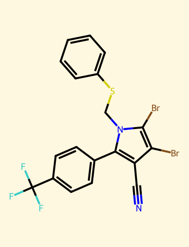 N#Cc1c(Br)c(Br)n(CSc2ccccc2)c1-c1ccc(C(F)(F)F)cc1